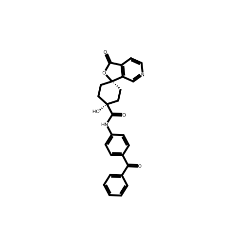 O=C(c1ccccc1)c1ccc(NC(=O)[C@]2(O)CC[C@]3(CC2)OC(=O)c2ccncc23)cc1